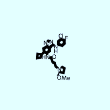 COC[C@@H]1CCCN1CC=CC(=O)Nc1cc2c(Nc3ccc(F)c(Cl)c3)ncnc2cc1C1CCC1